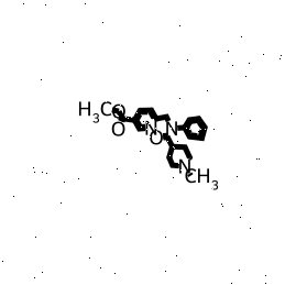 COC(=O)c1ccc(CN(C(=O)C2CCN(C)CC2)c2ccccc2)nc1